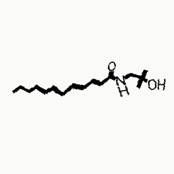 CCCC=CC=CC=CC=CC(=O)NCC(C)(C)O